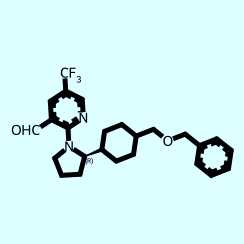 O=Cc1cc(C(F)(F)F)cnc1N1CCC[C@@H]1C1CCC(COCc2ccccc2)CC1